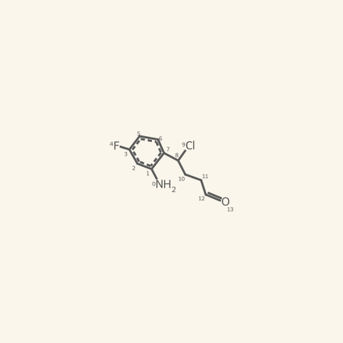 Nc1cc(F)ccc1C(Cl)CCC=O